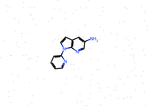 Nc1cnc2c(ccn2-c2ccccn2)c1